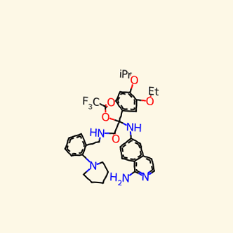 CCOc1cc(C(Nc2ccc3c(N)nccc3c2)(OC(=O)C(F)(F)F)C(=O)NCc2ccccc2N2CCCCC2)ccc1OC(C)C